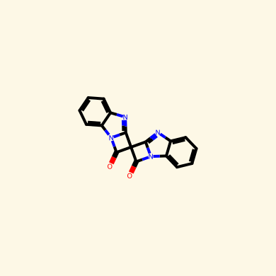 O=C1n2c(nc3ccccc32)C12C(=O)n1c2nc2ccccc21